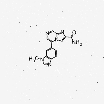 Cn1cnc2ccc(-c3cncc4nc(C(N)=O)cn34)cc21